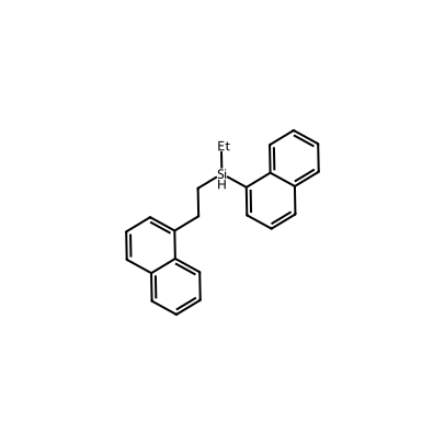 CC[SiH](CCc1cccc2ccccc12)c1cccc2ccccc12